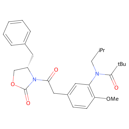 COc1ccc(CC(=O)N2C(=O)OC[C@@H]2Cc2ccccc2)cc1N(CC(C)C)C(=O)C(C)(C)C